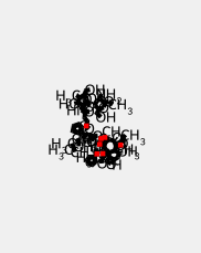 COC1OC(CO)C(OC2OC(CO)C(C)C(O)C2NC(=O)CCC(=O)OC(C(=O)O[C@H]2C[C@@]3(O)C(OC(=O)c4ccccc4)[C@@H]4[C@]5(OC(C)=O)CO[C@@H]5C[C@H](O)[C@@]4(C)C(=O)[C@H](OC(C)=O)C(=C2C)C3(C)C)C(NC(=O)OC(C)(C)C)c2ccccc2)C(O)C1N